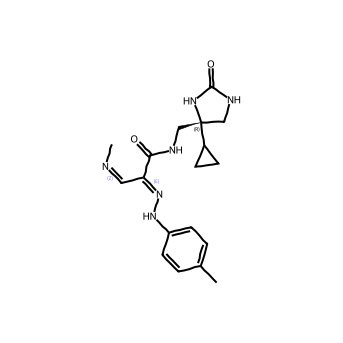 C/N=C\C(=N/Nc1ccc(C)cc1)C(=O)NC[C@]1(C2CC2)CNC(=O)N1